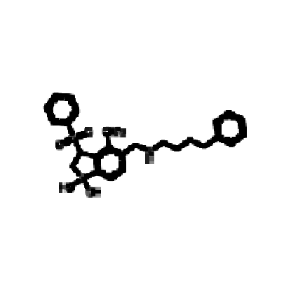 COc1c(CNCCCCc2ccccc2)ccc2c1C(S(=O)(=O)c1ccccc1)CS2(O)O